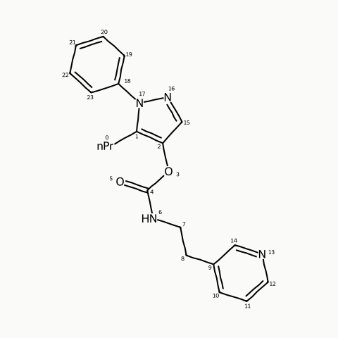 CCCc1c(OC(=O)NCCc2cccnc2)cnn1-c1ccccc1